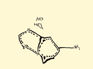 Cl.Cl.Nc1ccn2ncnc2c1